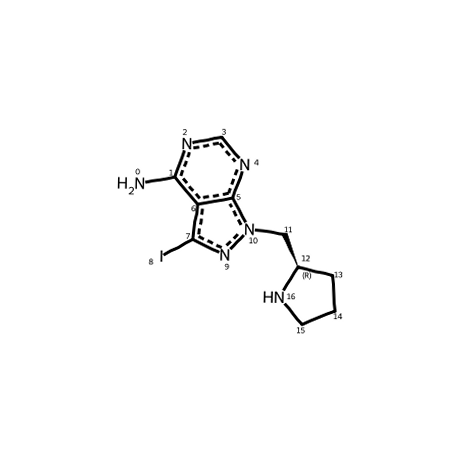 Nc1ncnc2c1c(I)nn2C[C@H]1CCCN1